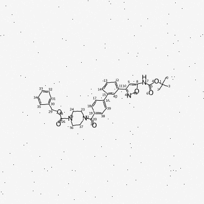 CC(C)(C)OC(=O)Nc1cc(-c2cccc(-c3ccc(C(=O)N4CCN(C(=O)OCc5ccccc5)CC4)cc3)c2)no1